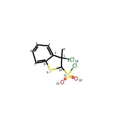 CC1(Cl)c2ccccc2SC1S(=O)(=O)Cl